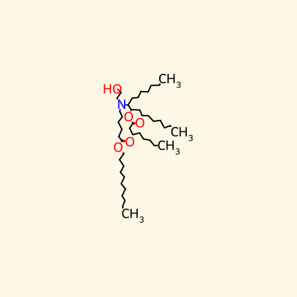 CCCCCCCCCCCOC(=O)CCCCCN(CCO)C(CCCCCCC)C(CCCCCCCC)OC(=O)CCCCCCC